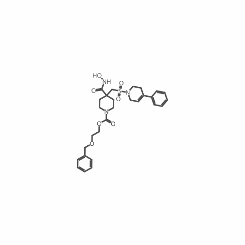 O=C(OCCOCc1ccccc1)N1CCC(CS(=O)(=O)N2CC=C(c3ccccc3)CC2)(C(=O)NO)CC1